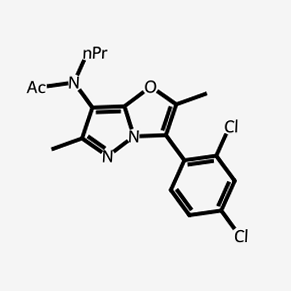 CCCN(C(C)=O)c1c(C)nn2c(-c3ccc(Cl)cc3Cl)c(C)oc12